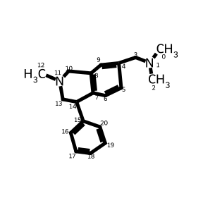 CN(C)Cc1ccc2c(c1)CN(C)CC2c1ccccc1